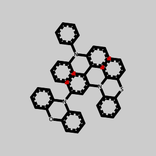 c1ccc(N(c2ccccc2)c2ccccc2-c2ccc(N3c4ccccc4Oc4ccccc43)cc2N2c3ccccc3Sc3ccccc32)cc1